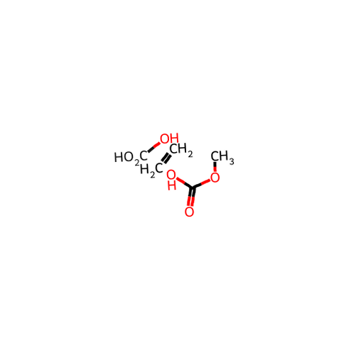 C=C.COC(=O)O.O=C(O)O